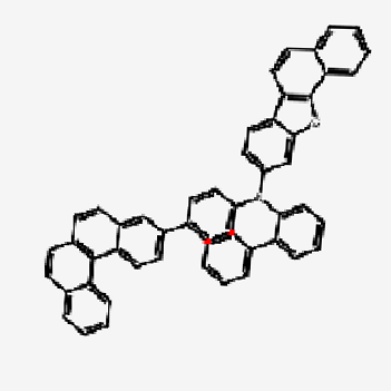 c1ccc(-c2ccccc2N(c2ccc(-c3ccc4c(ccc5ccc6ccccc6c54)c3)cc2)c2ccc3c(c2)oc2c4ccccc4ccc32)cc1